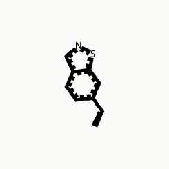 C=Cc1ccc2cnsc2c1